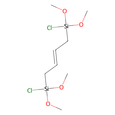 CO[Si](Cl)(CC=CC[Si](Cl)(OC)OC)OC